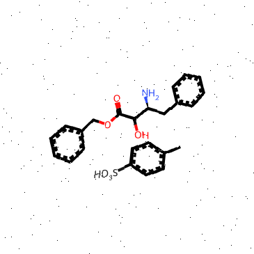 Cc1ccc(S(=O)(=O)O)cc1.N[C@@H](Cc1ccccc1)C(O)C(=O)OCc1ccccc1